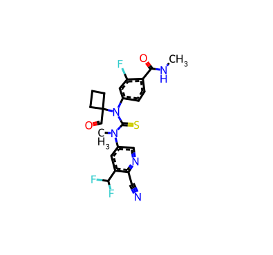 CNC(=O)c1ccc(N(C(=S)N(C)c2cnc(C#N)c(C(F)F)c2)C2(C=O)CCC2)cc1F